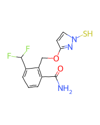 NC(=O)c1cccc(C(F)F)c1COc1ccn(S)n1